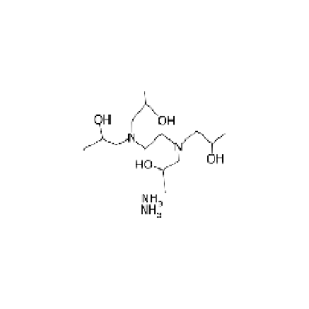 CC(O)CN(CCN(CC(C)O)CC(C)O)CC(C)O.N.N